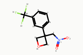 O=[N+]([O-])CC1(c2cccc(C(F)(F)F)c2)COC1